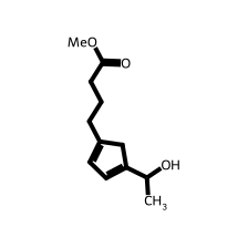 COC(=O)CCCC1=CC=C(C(C)O)C1